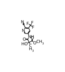 COC(=O)C(C)(O)C(=O)Nc1cnc(C#N)c(C(F)(F)F)c1